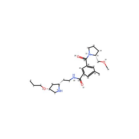 CCCO[C@H]1CN[C@@H](CCNC(=O)c2cc(C)cc(C(=O)N3CCC[C@@H]3COC)c2)C1